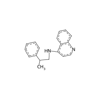 CC(CNc1ccnc2ccccc12)c1ccccc1